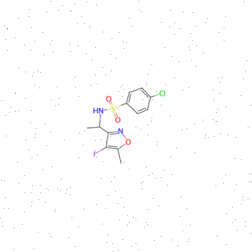 Cc1onc(C(C)NS(=O)(=O)c2ccc(Cl)cc2)c1I